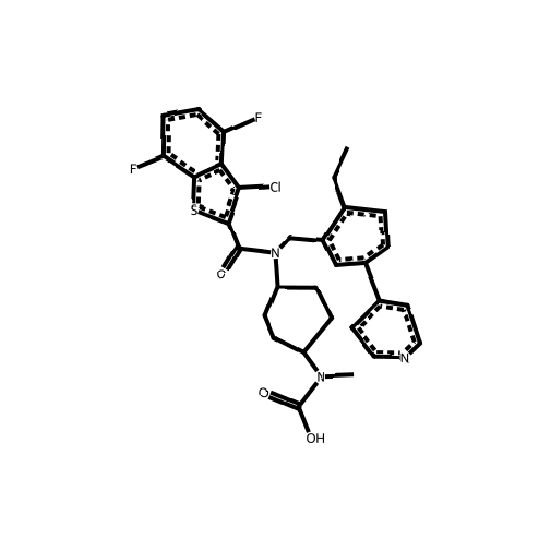 CCc1ccc(-c2ccncc2)cc1CN(C(=O)c1sc2c(F)ccc(F)c2c1Cl)C1CCC(N(C)C(=O)O)CC1